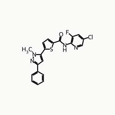 Cn1nc(-c2ccccc2)cc1-c1ccc(C(=O)Nc2ncc(Cl)cc2F)s1